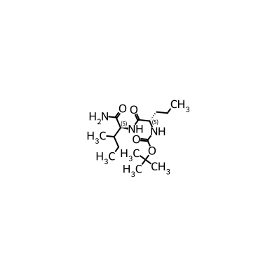 CCC[C@H](NC(=O)OC(C)(C)C)C(=O)N[C@H](C(N)=O)C(C)CC